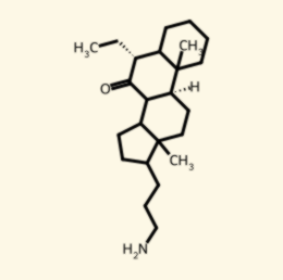 CC[C@H]1C(=O)C2C3CCC(CCCN)C3(C)CC[C@@H]2C2(C)CCCCC12